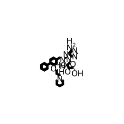 Nc1ncnc2c1nc(NCc1ccc(-c3ccccc3)c(OCCCN3CCCCC3)c1)n2[C@@H]1O[C@H](CO)[C@@H](O)[C@H]1O